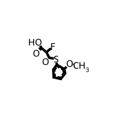 COc1ccccc1SC(=O)C(F)C(=O)O